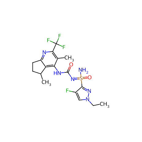 CCn1cc(F)c(S(N)(=O)=NC(=O)Nc2c(C)c(C(F)(F)F)nc3c2C(C)CC3)n1